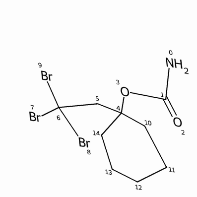 NC(=O)OC1(CC(Br)(Br)Br)CCCCC1